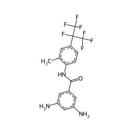 Cc1cc(C(F)(C(F)(F)F)C(F)(F)F)ccc1NC(=O)c1cc(N)cc(N)c1